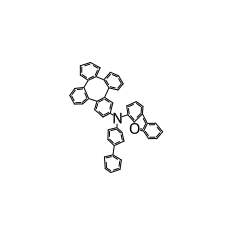 c1ccc(-c2ccc(N(c3ccc4c(c3)-c3ccccc3-c3ccccc3-c3ccccc3-4)c3cccc4c3oc3ccccc34)cc2)cc1